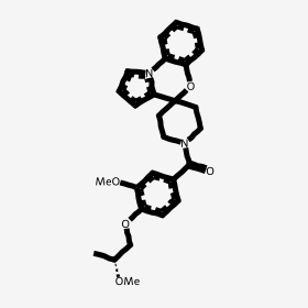 COc1cc(C(=O)N2CCC3(CC2)Oc2ccccc2-n2cccc23)ccc1OC[C@@H](C)OC